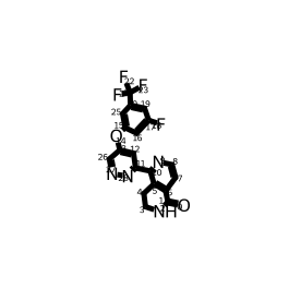 O=C1NCCc2c1ccnc2-c1cc(Oc2cc(F)cc(C(F)(F)F)c2)cnn1